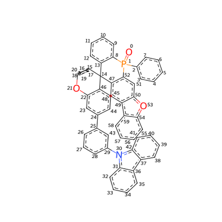 O=P1(c2ccccc2)c2ccccc2C2(c3ccccc3Oc3cc(-c4cccc(-n5c6ccccc6c6ccccc65)c4)ccc32)c2cc3c(cc21)oc1ccccc13